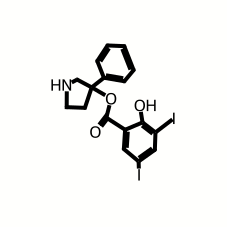 O=C(OC1(c2ccccc2)CCNC1)c1cc(I)cc(I)c1O